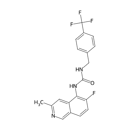 Cc1cc2c(NC(=O)NCc3ccc(C(F)(F)F)cc3)c(F)ccc2cn1